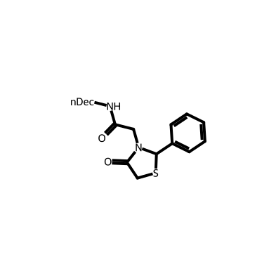 CCCCCCCCCCNC(=O)CN1C(=O)CSC1c1ccccc1